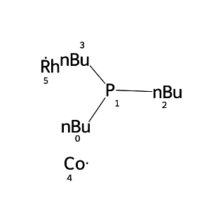 CCCCP(CCCC)CCCC.[Co].[Rh]